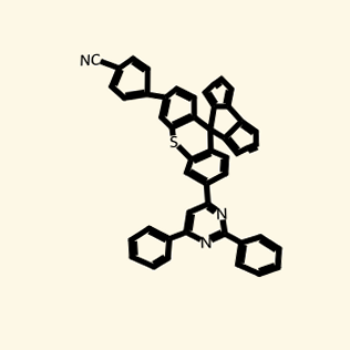 N#Cc1ccc(-c2ccc3c(c2)Sc2cc(-c4cc(-c5ccccc5)nc(-c5ccccc5)n4)ccc2C32c3ccccc3-c3ccccc32)cc1